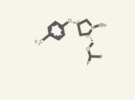 CC(C)(C)N1C[C@@H](Oc2ccc(C(F)(F)F)cc2)C[C@H]1COC(F)F